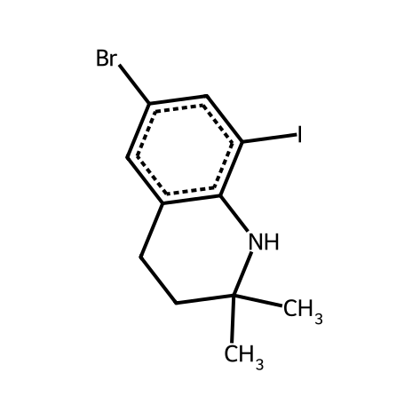 CC1(C)CCc2cc(Br)cc(I)c2N1